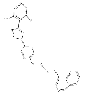 Fc1cccc(F)c1C1=NC(c2ccc(CSSCc3cccc4ccccc34)cc2)CO1